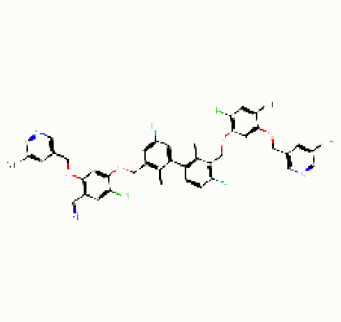 Cc1c(COc2cc(OCc3cncc(C#N)c3)c(C=N)cc2Cl)cc(F)cc1-c1ccc(F)c(COc2cc(OCc3cncc(C#N)c3)c(C=O)cc2Cl)c1C